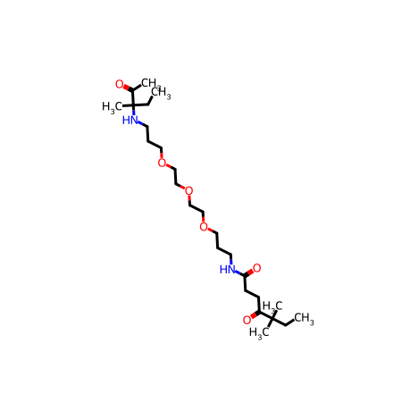 CCC(C)(C)C(=O)CCC(=O)NCCCOCCOCCOCCCNC(C)(CC)C(C)=O